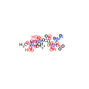 CC(=O)C[C@@H](CC(=O)O)C(=O)N[C@@H](CCC(=O)O)C(=O)C[C@H](C(=O)N[C@@H](CC(=O)O)C(=O)Cc1ccc2c(c1)CC1=CC(CC(=O)[C@H](CC(=O)O)NC(=O)[C@H](CCCCN(Cc3ccccn3)Cc3ccccn3)CC(=O)OCC3c4ccccc4-c4ccccc43)=CC3OC(=O)c4ccccc4C2C13)C(C)C